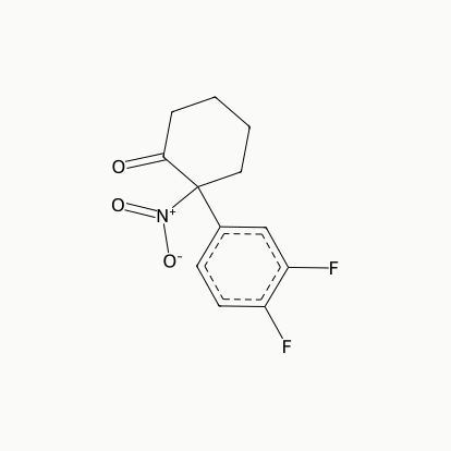 O=C1CCCCC1(c1ccc(F)c(F)c1)[N+](=O)[O-]